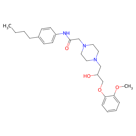 CCCCc1ccc(NC(=O)CN2CCN(CC(O)COc3ccccc3OC)CC2)cc1